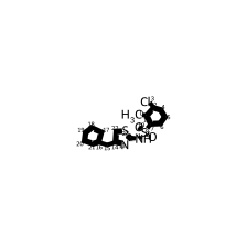 Cc1c(Cl)cccc1S(=O)(=O)Nc1nc(Cc2ccccc2)cs1